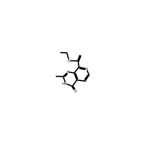 C=C(OCC)c1nccc2c(=O)[nH]c(C)nc12